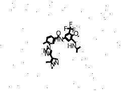 COc1c(CNC(C)C)cc(NC(=O)c2ccc(C)c(-n3cc(-c4cnn(C)c4C)nn3)c2)cc1C(F)(F)F